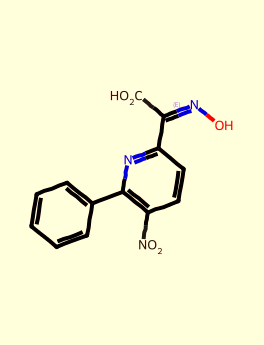 O=C(O)/C(=N/O)c1ccc([N+](=O)[O-])c(-c2ccccc2)n1